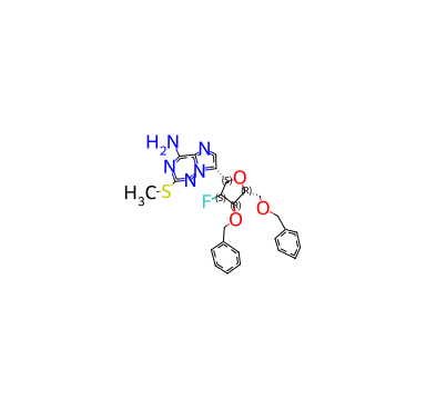 CSc1nc(N)c2ncc([C@@H]3O[C@H](COCc4ccccc4)[C@@H](OCc4ccccc4)[C@H]3F)n2n1